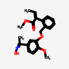 CC=C(C(=O)OC)c1ccccc1COc1cc(/C(C)=N\O)ccc1OC